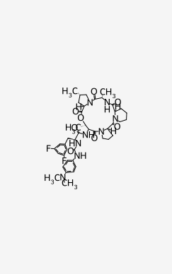 C[C@H]1C[C@H]2C(=O)O[C@@H](C)[C@H](NC(=O)[C@H](Cc3cc(F)cc(F)c3)NC(=O)Nc3ccc(N(C)C)cc3)C(=O)N3CCC[C@H]3C(=O)N3CCCC[C@H]3C(=O)N[C@@H](C)C(=O)N2C1